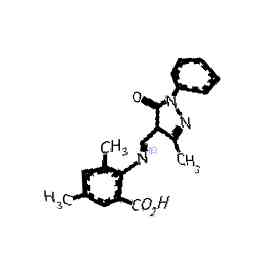 CC1=NN(c2ccccc2)C(=O)C1/C=N/c1c(C)cc(C)cc1C(=O)O